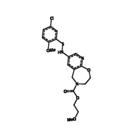 COCCOC(=O)N1CCOc2ncc(NSc3cc(Cl)ccc3OC)cc2C1